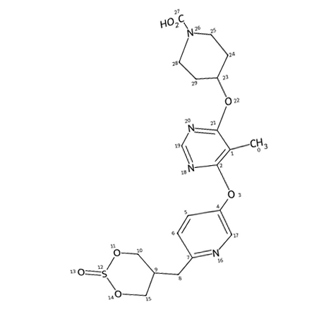 Cc1c(Oc2ccc(CC3COS(=O)OC3)nc2)ncnc1OC1CCN(C(=O)O)CC1